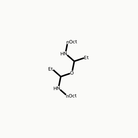 CCCCCCCCNC(CC)OC(CC)NCCCCCCCC